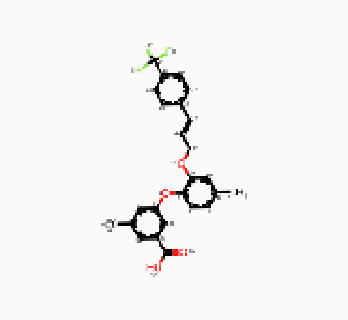 Cc1cc(Oc2ccc(C)cc2OC/C=C/c2ccc(C(F)(F)F)cc2)cc(C(=O)O)c1